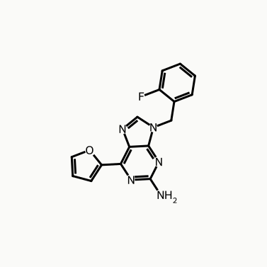 Nc1nc(-c2ccco2)c2ncn(Cc3ccccc3F)c2n1